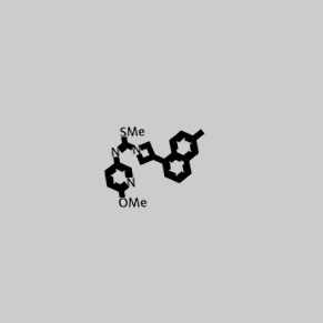 COc1ccc(/N=C(/SC)N2CC(c3cccc4cc(C)ccc34)C2)cn1